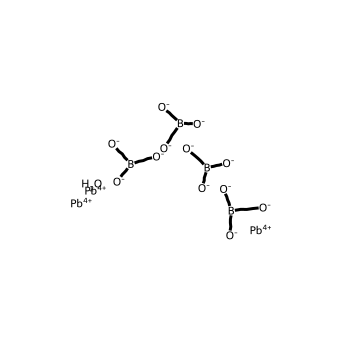 O.[O-]B([O-])[O-].[O-]B([O-])[O-].[O-]B([O-])[O-].[O-]B([O-])[O-].[Pb+4].[Pb+4].[Pb+4]